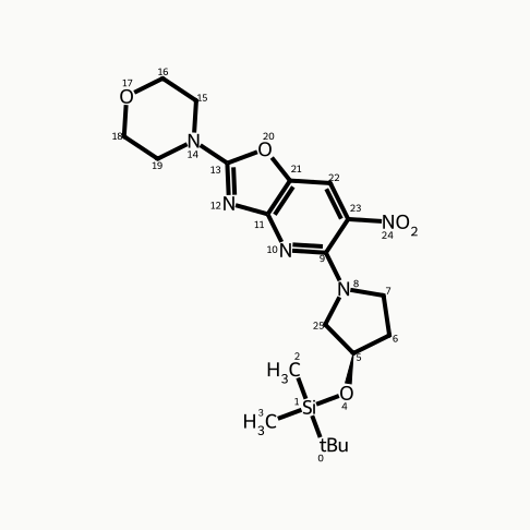 CC(C)(C)[Si](C)(C)O[C@@H]1CCN(c2nc3nc(N4CCOCC4)oc3cc2[N+](=O)[O-])C1